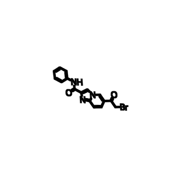 O=C(CBr)c1ccc2nc(C(=O)Nc3ccccc3)cn2c1